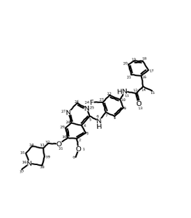 COc1cc2c(Nc3ccc(NC(=O)C(C)c4ccccc4)cc3F)ncnc2cc1OCC1CCN(C)CC1